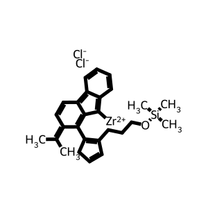 CC(C)=c1ccc2c(c1C1=C(CCCO[Si](C)(C)C)C=CC1)[C]([Zr+2])=c1ccccc1=2.[Cl-].[Cl-]